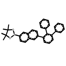 CC1(C)OB(c2ccc3cc(-c4cccc(-c5ccccc5)c4-c4ccccc4)ccc3c2)OC1(C)C